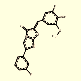 COc1cc(/C=c2\sc3nc(-c4cccc(F)c4)cn3c2=O)cc(F)c1O